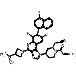 C=CC(=O)N1CCC(n2cnc3c(N4CC(N(C)C)C4)nc4c(F)c(-c5ccc(F)c6ccccc56)c(Cl)cc4c32)CC1CC#N